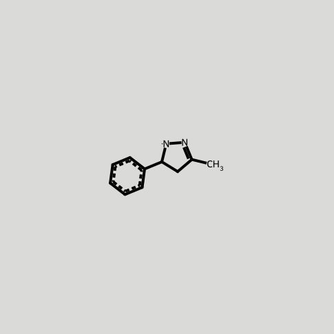 CC1=N[N]C(c2ccccc2)C1